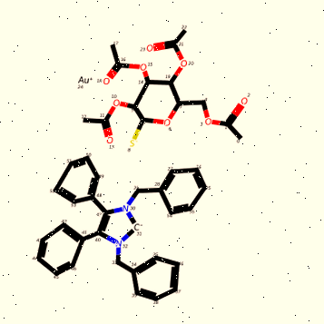 CC(=O)OCC1OC([S-])C(OC(C)=O)C(OC(C)=O)C1OC(C)=O.[Au+].c1ccc(CN2[CH-]N(Cc3ccccc3)C(c3ccccc3)=C2c2ccccc2)cc1